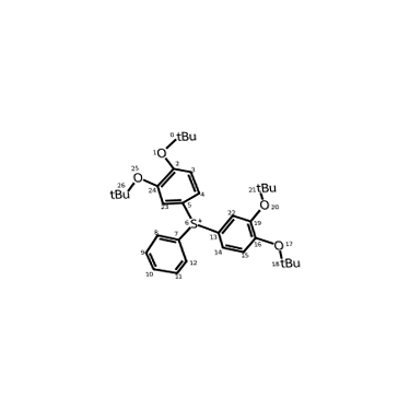 CC(C)(C)Oc1ccc([S+](c2ccccc2)c2ccc(OC(C)(C)C)c(OC(C)(C)C)c2)cc1OC(C)(C)C